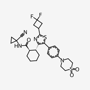 N#CC1(NC(=O)[C@@H]2CCCC[C@H]2c2nc(C3CC(F)(F)C3)sc2-c2ccc(N3CCS(=O)(=O)CC3)cc2)CC1